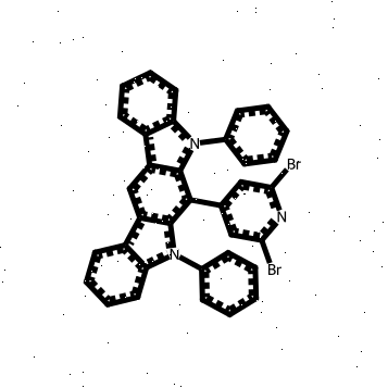 Brc1cc(-c2c3c(cc4c5ccccc5n(-c5ccccc5)c24)c2ccccc2n3-c2ccccc2)cc(Br)n1